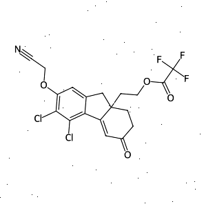 N#CCOc1cc2c(c(Cl)c1Cl)C1=CC(=O)CCC1(CCOC(=O)C(F)(F)F)C2